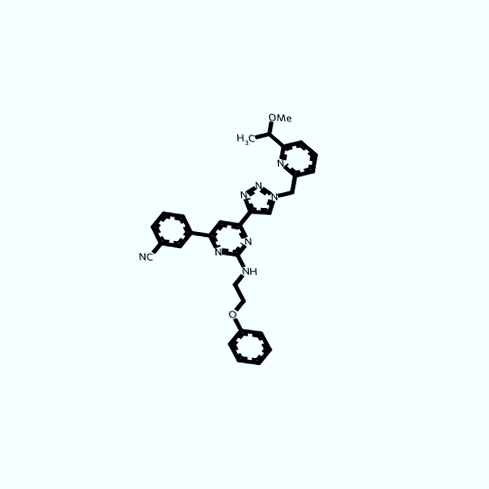 COC(C)c1cccc(Cn2cc(-c3cc(-c4cccc(C#N)c4)nc(NCCOc4ccccc4)n3)nn2)n1